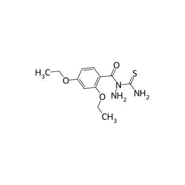 CCOc1ccc(C(=O)N(N)C(N)=S)c(OCC)c1